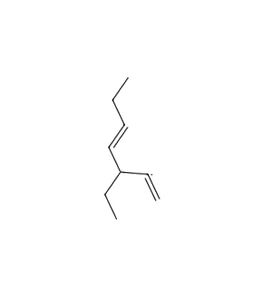 C=[C]C(/C=C/CC)CC